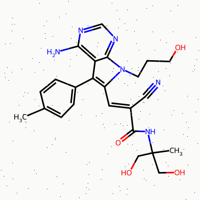 Cc1ccc(-c2c(C=C(C#N)C(=O)NC(C)(CO)CO)n(CCCO)c3ncnc(N)c23)cc1